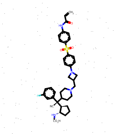 C=CC(=O)Nc1ccc(S(=O)(=O)c2ccc(N3CC(CN4CCC([C@@](C#N)(c5cccc(F)c5)[C@H]5CCC[C@@H]5NC(=O)O)CC4)C3)cc2)cc1